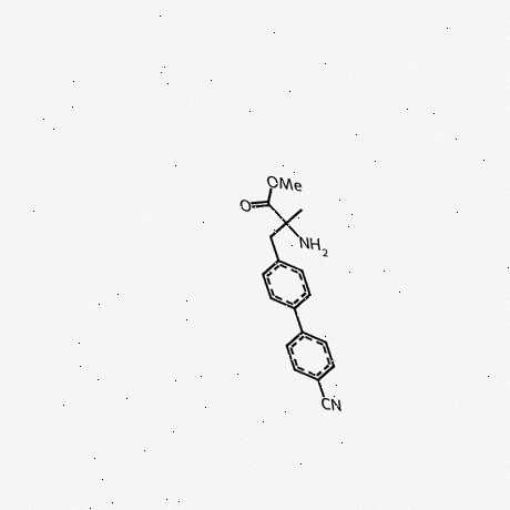 COC(=O)C(C)(N)Cc1ccc(-c2ccc(C#N)cc2)cc1